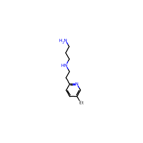 CCc1ccc(CCNCCCN)nc1